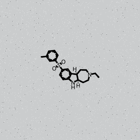 CCN1CC[C@@H]2c3cc(S(=O)(=O)c4cccc(C)c4)ccc3N[C@@H]2CC1